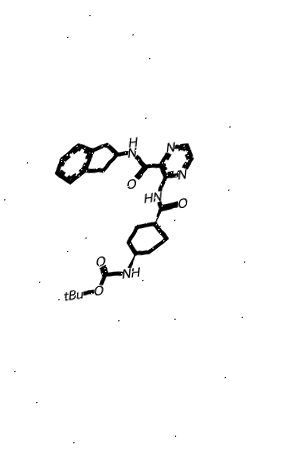 CC(C)(C)OC(=O)N[C@H]1CC[C@@H](C(=O)Nc2nccnc2C(=O)NC2Cc3ccccc3C2)CC1